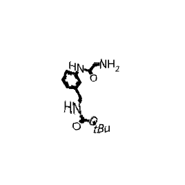 CC(C)(C)OC(=O)NCc1cccc(NC(=O)CN)c1